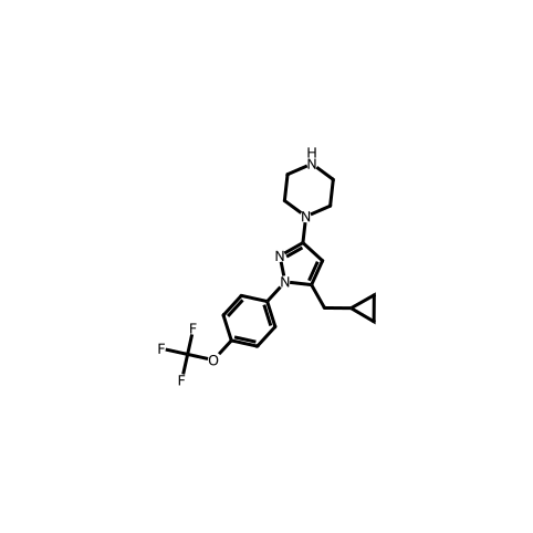 FC(F)(F)Oc1ccc(-n2nc(N3CCNCC3)cc2CC2CC2)cc1